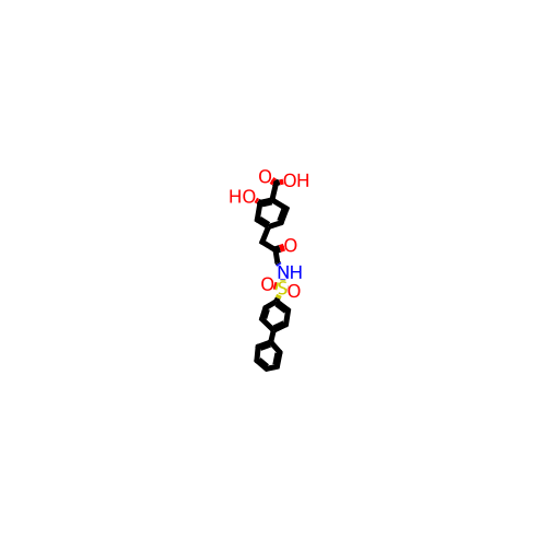 O=C(CNS(=O)(=O)c1ccc(-c2ccccc2)cc1)Cc1ccc(C(=O)O)c(O)c1